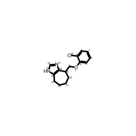 Clc1ccccc1OCC1CCCCc2[nH]cnc21